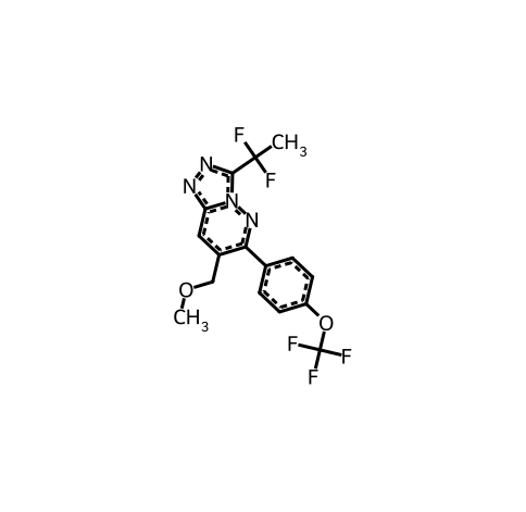 COCc1cc2nnc(C(C)(F)F)n2nc1-c1ccc(OC(F)(F)F)cc1